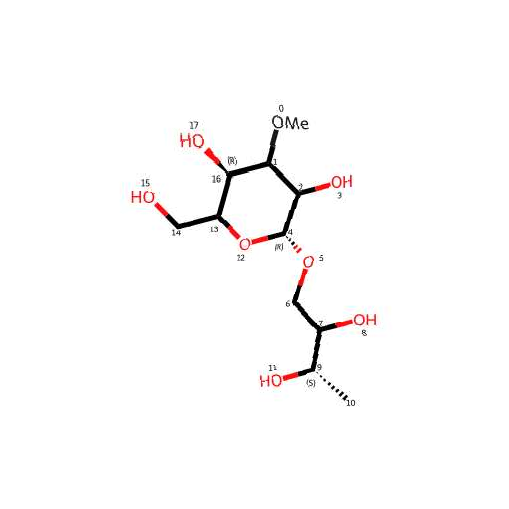 COC1C(O)[C@H](OCC(O)[C@H](C)O)OC(CO)[C@H]1O